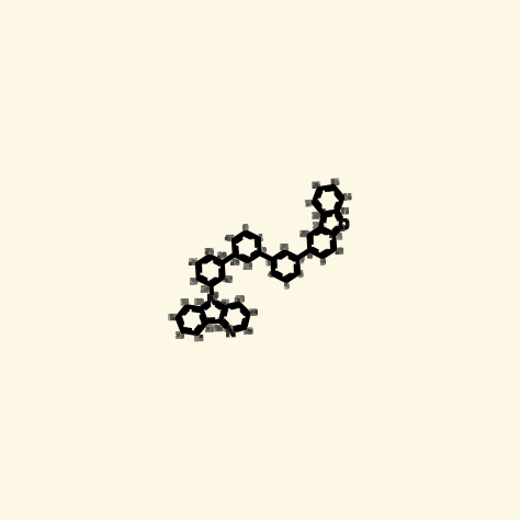 c1cc(-c2cccc(-c3ccc4oc5ccccc5c4c3)c2)cc(-c2cccc(-n3c4ccccc4c4ncccc43)c2)c1